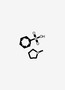 CN1CCCC1.O=S(=O)(O)c1ccccc1